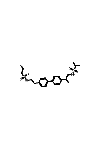 CCCS(=O)(=O)NCCc1ccc(-c2ccc(C(C)CNS(=O)(=O)C(C)C)cc2)cc1